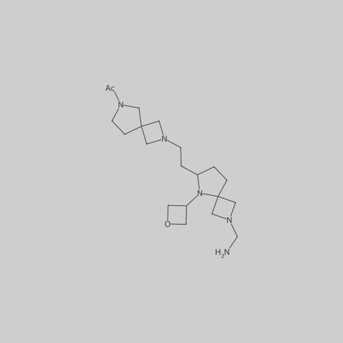 CC(=O)N1CCC2(CN(CCC3CCC4(CN(CN)C4)N3C3COC3)C2)C1